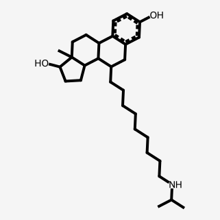 CC(C)NCCCCCCCCCC1Cc2cc(O)ccc2C2CCC3(C)C(O)CCC3C12